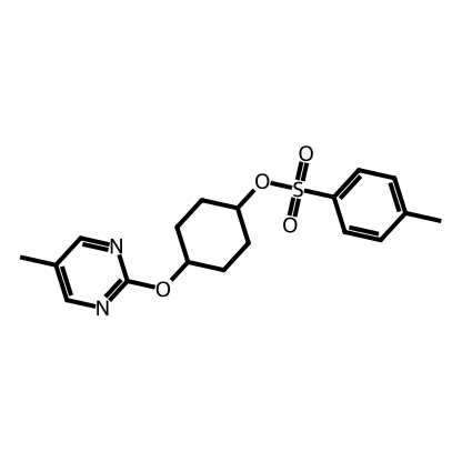 Cc1ccc(S(=O)(=O)OC2CCC(Oc3ncc(C)cn3)CC2)cc1